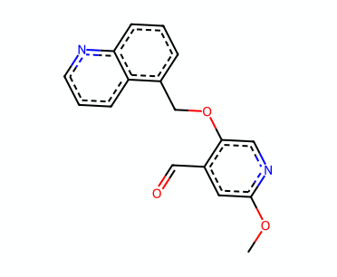 COc1cc(C=O)c(OCc2cccc3ncccc23)cn1